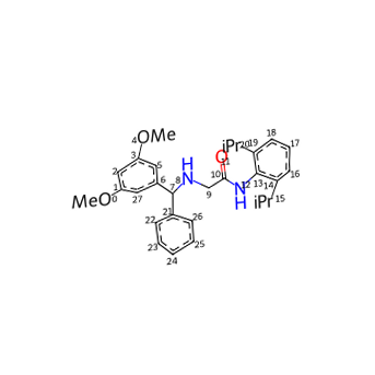 COc1cc(OC)cc(C(NCC(=O)Nc2c(C(C)C)cccc2C(C)C)c2ccccc2)c1